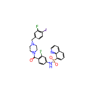 O=C(c1ccc(NS(=O)(=O)c2cccc3cccnc23)cc1F)N1CCN(Cc2ccc(I)c(F)c2)CC1